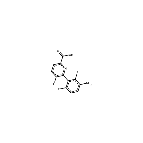 Nc1ccc(F)c(-c2nc(C(=O)O)ccc2F)c1F